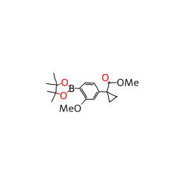 COC(=O)C1(c2ccc(B3OC(C)(C)C(C)(C)O3)c(OC)c2)CC1